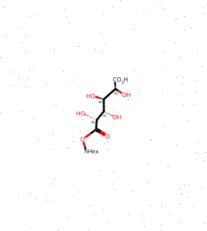 CCCCCCOC(=O)[C@H](O)[C@@H](O)[C@@H](O)[C@H](O)C(=O)O